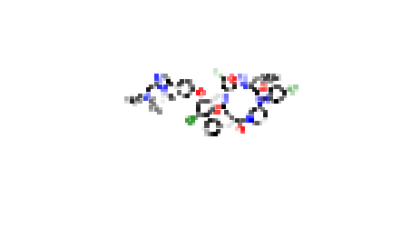 COC[C@@H]1NC(=O)[C@H](CCF)N(Cc2ccc(Cl)cc2Oc2ccc(-c3cnc(CN(C)C)n3C)cc2)C(=O)C[C@@H](Cc2ccccc2)C(=O)N2CCC[C@@](Cc3ccc(Cl)cc3)(C2)NC1=O